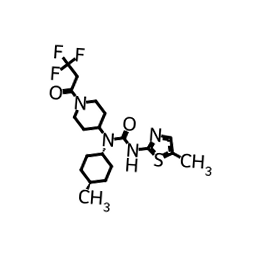 Cc1cnc(NC(=O)N(C2CCN(C(=O)CC(F)(F)F)CC2)[C@H]2CC[C@H](C)CC2)s1